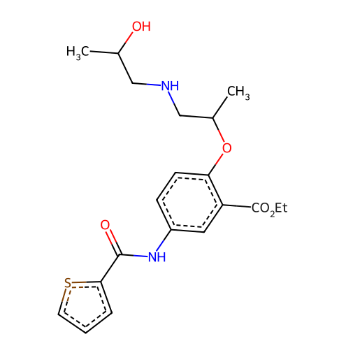 CCOC(=O)c1cc(NC(=O)c2cccs2)ccc1OC(C)CNCC(C)O